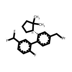 CC(C)Cc1ccc(-c2cc(C(F)F)ccc2F)c([C@@H]2CCCC2(C)C)c1